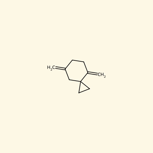 C=C1CCC(=C)C2(CC2)C1